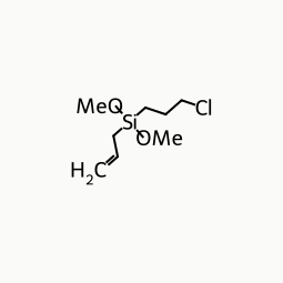 C=CC[Si](CCCCl)(OC)OC